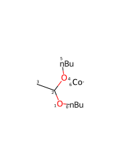 CCCCOC(C)OCCCC.[Co]